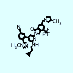 C[C@H]1CCN(Cc2cc3c(c(C(F)(F)F)c2)CN(c2cc(-c4cc(C#N)ccc4-c4nncn4C)cc(NCCC4CC4)n2)C3=O)C1